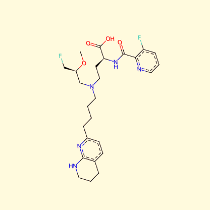 CO[C@H](CF)CN(CCCCc1ccc2c(n1)NCCC2)CC[C@H](NC(=O)c1ncccc1F)C(=O)O